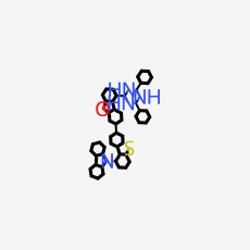 c1ccc(C2NC(c3ccccc3)NC(c3cccc4oc5cc(-c6ccc7c(c6)sc6cccc(-n8c9ccccc9c9ccccc98)c67)ccc5c34)N2)cc1